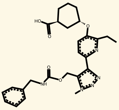 CCc1nc(-c2nnn(C)c2COC(=O)NCc2ccccc2)ccc1O[C@H]1CCC[C@H](C(=O)O)C1